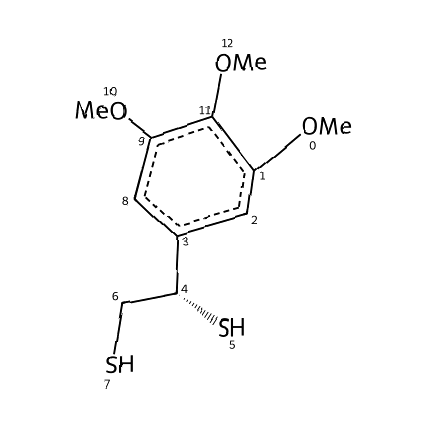 COc1cc([C@H](S)CS)cc(OC)c1OC